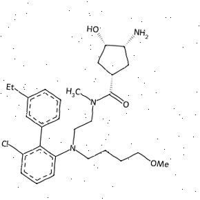 CCc1cccc(-c2c(Cl)cccc2N(CCCCOC)CCN(C)C(=O)[C@H]2C[C@@H](N)[C@@H](O)C2)c1